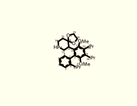 COc1c(-c2ccccc2C(C)C)c(C2CPCCC23OCCO3)c(OC)c(C(C)C)c1C(C)C